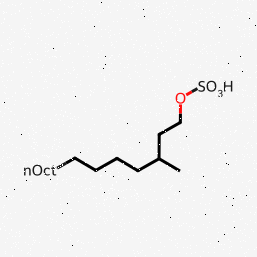 CCCCCCCCCCCCC(C)CCOS(=O)(=O)O